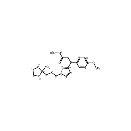 COC(=O)CC(c1ccc(OC)nc1)c1ccn(CCCC2(C)OCCO2)n1